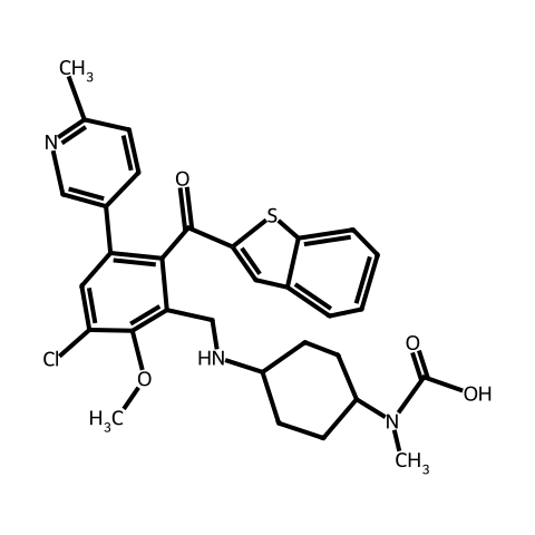 COc1c(Cl)cc(-c2ccc(C)nc2)c(C(=O)c2cc3ccccc3s2)c1CNC1CCC(N(C)C(=O)O)CC1